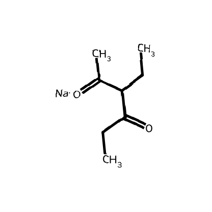 CCC(=O)C(CC)C(C)=O.[Na]